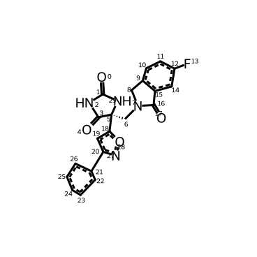 O=C1NC(=O)[C@](CN2Cc3ccc(F)cc3C2=O)(c2cc(-c3ccccc3)no2)N1